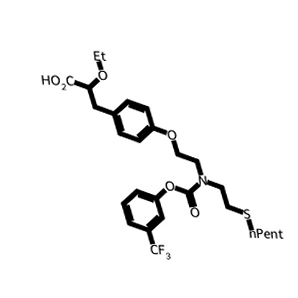 CCCCCSCCN(CCOc1ccc(CC(OCC)C(=O)O)cc1)C(=O)Oc1cccc(C(F)(F)F)c1